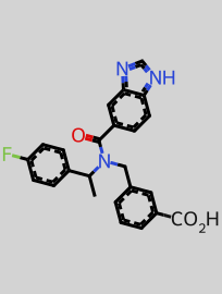 CC(c1ccc(F)cc1)N(Cc1cccc(C(=O)O)c1)C(=O)c1ccc2[nH]cnc2c1